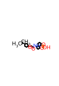 CCC(C)c1ccc(OCC(=O)Nc2cccc3c(S(=O)(=O)O)cccc23)cc1